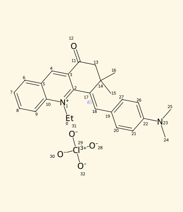 CC[n+]1c2c(cc3ccccc31)C(=O)CC(C)(C)/C2=C\c1ccc(N(C)C)cc1.[O-][Cl+3]([O-])([O-])[O-]